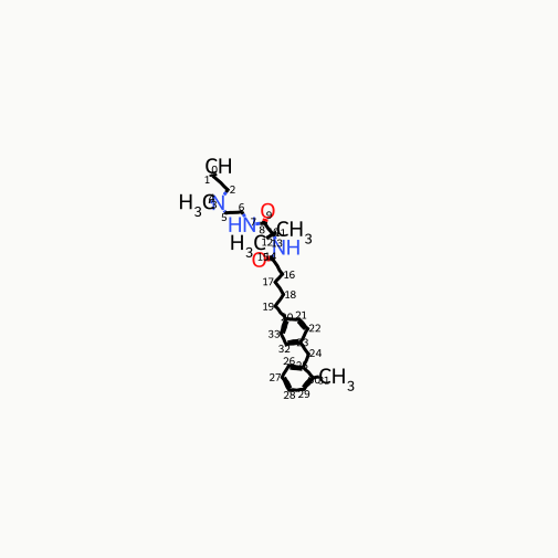 C#CCN(C)CCNC(=O)C(C)(C)NC(=O)CCCCc1ccc(Cc2ccccc2C)cc1